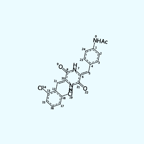 CC(=O)Nc1ccc(/C=c2\[nH]c(=O)/c(=C/c3c(Cl)cccc3Cl)[nH]c2=O)cc1